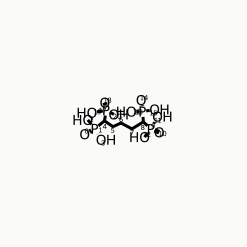 O=P(O)(O)C(CCCC(P(=O)(O)O)P(=O)(O)O)P(=O)(O)O